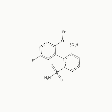 CC(C)Oc1ccc(F)cc1-c1c(S(N)(=O)=O)cccc1S(=O)(=O)O